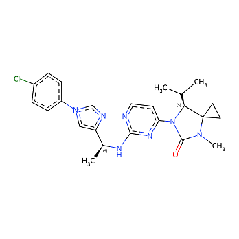 CC(C)[C@@H]1N(c2ccnc(N[C@@H](C)c3cn(-c4ccc(Cl)cc4)cn3)n2)C(=O)N(C)C12CC2